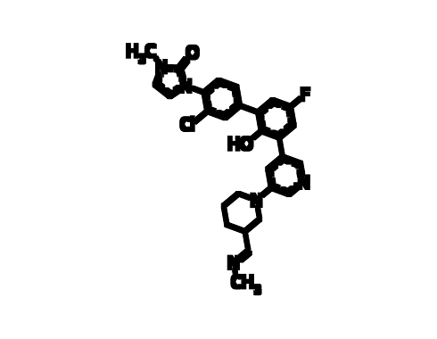 CN=CC1CCCN(c2cncc(-c3cc(F)cc(-c4ccc(-n5ccn(C)c5=O)c(Cl)c4)c3O)c2)C1